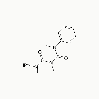 CC(C)NC(=O)N(C)C(=O)N(C)c1ccccc1